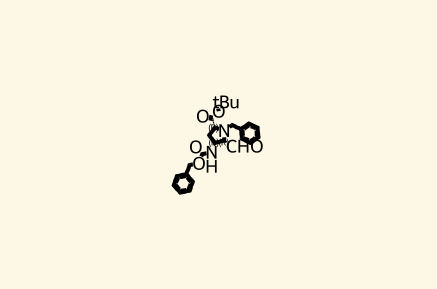 CC(C)(C)OC(=O)[C@H]1C[C@@H](NC(=O)OCc2ccccc2)[C@H](C=O)N1Cc1ccccc1